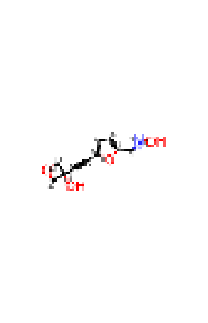 O/N=C/c1ccc(C#CC2(O)COC2)o1